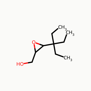 CCC(CC)(CC)C1OC1CO